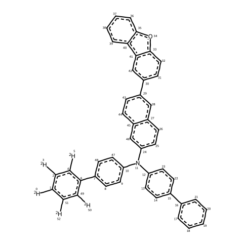 [2H]c1c([2H])c([2H])c(-c2ccc(N(c3ccc(-c4ccccc4)cc3)c3ccc4cc(-c5ccc6oc7ccccc7c6c5)ccc4c3)cc2)c([2H])c1[2H]